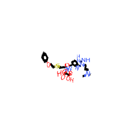 CN(C)CCCN(C#N)C(=N)Nc1ccc(-c2nnc(CSCCOc3ccccc3)o2)cc1.O=C(O)C(=O)O